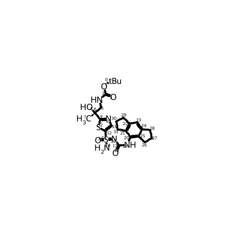 CC(C)(C)OC(=O)NC[C@@](C)(O)c1ncc(S(N)(=O)=NC(=O)Nc2c3c(cc4c2CCC4)CCC3)s1